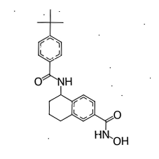 CC(C)(C)c1ccc(C(=O)NC2CCCc3cc(C(=O)NO)ccc32)cc1